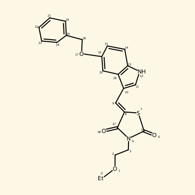 CCOCCN1C(=O)SC(=Cc2c[nH]c3ccc(OCc4ccccc4)cc23)C1=O